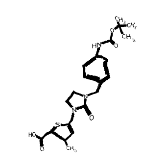 CC1C=C(N2CCN(Cc3ccc(NC(=O)OC(C)(C)C)cc3)C2=O)SC1C(=O)O